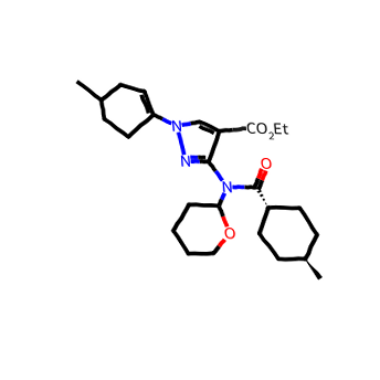 CCOC(=O)c1cn(C2=CCC(C)CC2)nc1N(C(=O)[C@H]1CC[C@H](C)CC1)C1CCCCO1